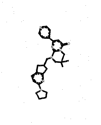 CC1(C)CN(CC2Cc3ccc(N4CCCC4)nc3C2)c2nc(-c3ccncc3)cc(=O)n2C1